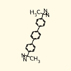 CC1(c2ccc(-c3ccc(-c4ccc(C5(C)N=N5)cc4)cc3)cc2)N=N1